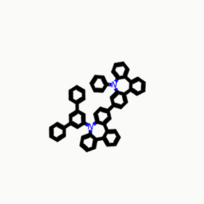 c1ccc(-c2cc(-c3ccccc3)cc(N3c4ccccc4-c4ccccc4-c4cc(-c5ccc6c(c5)N(c5ccccc5)c5ccccc5-c5ccccc5-6)ccc43)c2)cc1